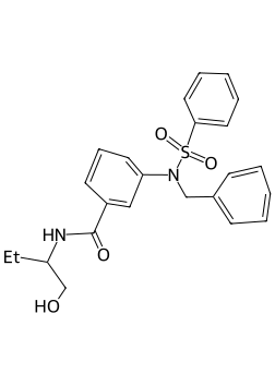 CCC(CO)NC(=O)c1cccc(N(Cc2ccccc2)S(=O)(=O)c2ccccc2)c1